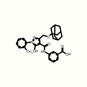 Cc1ccccc1-n1nc(COC23CC4CC(CC(C4)C2)C3)c(C(=O)Nc2cccc(C(=O)O)c2)c1O